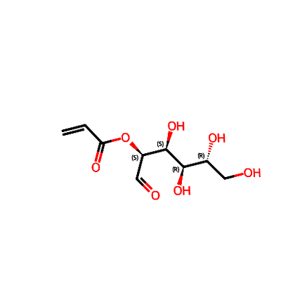 C=CC(=O)O[C@H](C=O)[C@@H](O)[C@H](O)[C@H](O)CO